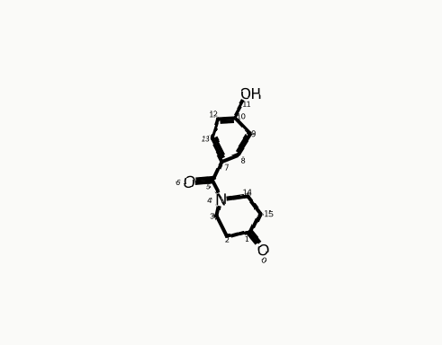 O=C1CCN(C(=O)c2ccc(O)cc2)CC1